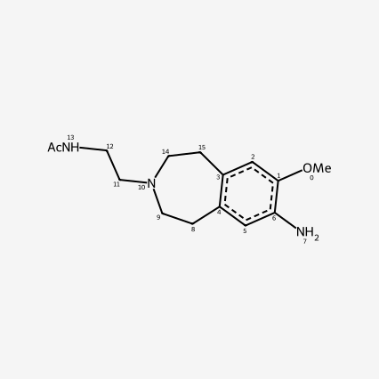 COc1cc2c(cc1N)CCN(CCNC(C)=O)CC2